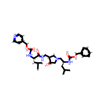 CC(C)C[C@@H](CN1CC(=O)C(CNC(=O)[C@H](CC(C)C)NC(=O)OCc2ccncc2)C1)NC(=O)OCc1ccccc1